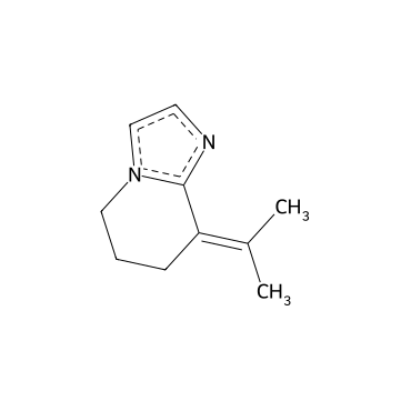 CC(C)=C1CCCn2ccnc21